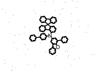 c1ccc(-c2ccc(N(c3cc(-c4ccccc4)c4oc5ccccc5c4c3)c3cccc4c3-c3ccccc3C43c4ccccc4-c4ccccc43)cc2)cc1